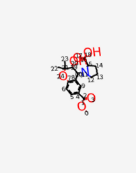 COC(=O)c1ccc2c(c1)[C@@H](N1CCCC1C(=O)O)C(O)C(C)(C)O2